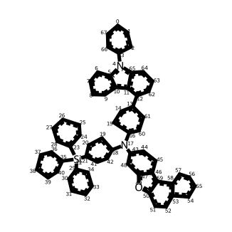 c1ccc(-n2c3ccccc3c3c(-c4ccc(N(c5ccc([Si](c6ccccc6)(c6ccccc6)c6ccccc6)cc5)c5ccc6c(c5)oc5ccc7ccccc7c56)cc4)cccc32)cc1